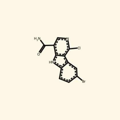 NC(=O)c1cnc(Cl)c2c1[nH]c1ccc(Br)cc12